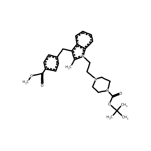 COC(=O)c1ccc(Cc2c(C)n(CCN3CCN(C(=O)OC(C)(C)C)CC3)c3ccccc23)cc1